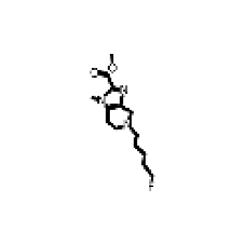 COC(=O)c1nc2c(n1C)CCN(CCCCCF)C2